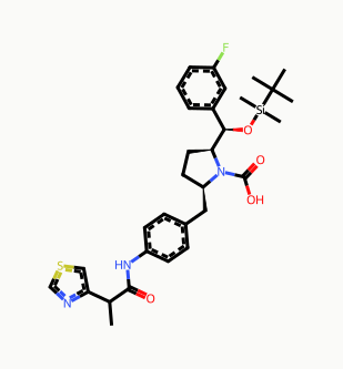 CC(C(=O)Nc1ccc(C[C@H]2CC[C@@H]([C@H](O[Si](C)(C)C(C)(C)C)c3cccc(F)c3)N2C(=O)O)cc1)c1cscn1